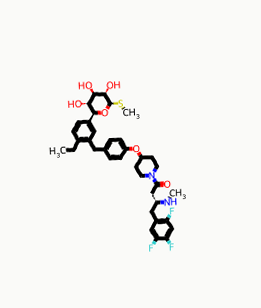 CCc1ccc([C@@H]2O[C@H](SC)[C@@H](O)[C@H](O)[C@H]2O)cc1Cc1ccc(OC2CCN(C(=O)C[C@@H](Cc3cc(F)c(F)cc3F)NC)CC2)cc1